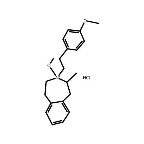 COc1ccc(CC[N+]2(OC)CCc3ccccc3CC2C)cc1.Cl